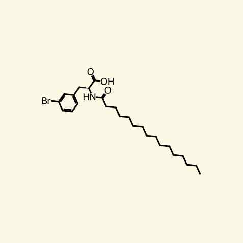 CCCCCCCCCCCCCCCC(=O)N[C@@H](Cc1cccc(Br)c1)C(=O)O